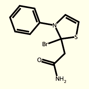 NC(=O)CC1(Br)SC=CN1c1ccccc1